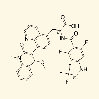 COc1c(-c2ccc(C[C@H](NC(=O)c3c(F)cc(N[C@H](C)C(F)(F)F)cc3F)C(=O)O)c3cccnc23)c(=O)n(C)c2ccccc12